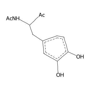 CC(=O)NC(Cc1ccc(O)c(O)c1)C(C)=O